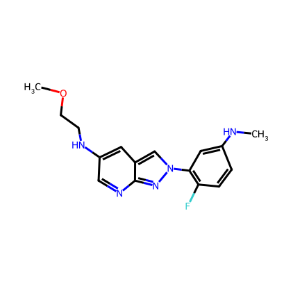 CNc1ccc(F)c(-n2cc3cc(NCCOC)cnc3n2)c1